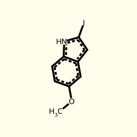 COc1ccc2[nH]c(I)cc2c1